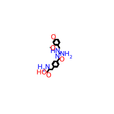 COc1ccc(CN/C(N)=N/C(=O)c2ccc(C[C@H](N)C(=O)O)cc2)c(OC)c1